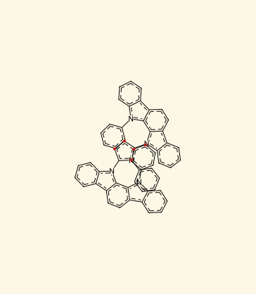 c1ccc(-n2c(-n3c4ccccc4c4ccc5c6ccccc6n(-c6ccccc6)c5c43)ccc2-n2c3ccccc3c3ccc4c5ccccc5n(-c5ccccc5)c4c32)cc1